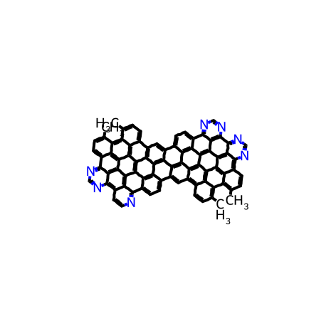 Cc1ccc2c3ncnc4c5ccnc6c7ccc8c9cc%10c%11ccc(C)c%12c%13c(C)ccc%14c%15ncnc%16c%17ncnc%18c%19ccc%20c%21cc%22c%23ccc(C)c%24c1c2c1c(c43)c(c56)c2c7c8c(c%21c9c3c%20c%19c4c(c%18%17)c(c%15%16)c(c%14%13)c(c%11%12)c4c%103)c%22c2c1c%23%24